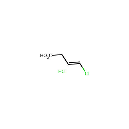 Cl.O=C(O)CC=CCl